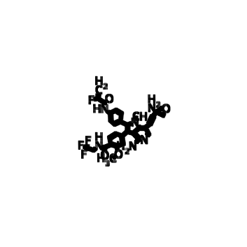 C=C(F)C(=O)Nc1ccc(-c2c(-c3ccc(C(=O)NCC(F)(F)F)c(OC)c3)c3c(N)ncc(C#CC4(N)COC4)c3n2C)cc1